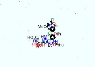 CC(C)Oc1cc(-n2nc(C(C)(C)C)oc2=O)c(Cl)cc1Cl.CCNc1nc(Cl)nc(NC(C)C)n1.CCc1cccc(C)c1N(C(=O)CCl)C(C)COC.O=C(O)CNCP(=O)(O)O